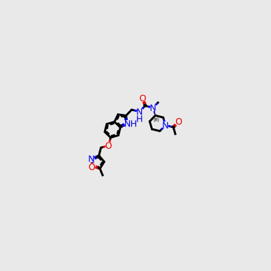 CC(=O)N1CCC[C@@H](N(C)C(=O)NCc2cc3ccc(OCc4cc(C)on4)cc3[nH]2)C1